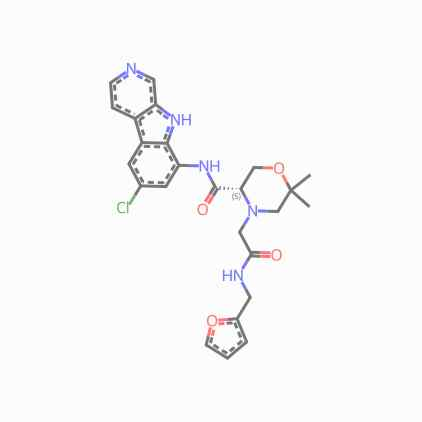 CC1(C)CN(CC(=O)NCc2ccco2)[C@H](C(=O)Nc2cc(Cl)cc3c2[nH]c2cnccc23)CO1